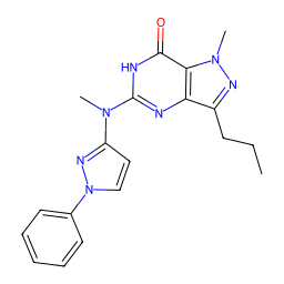 CCCc1nn(C)c2c(=O)[nH]c(N(C)c3ccn(-c4ccccc4)n3)nc12